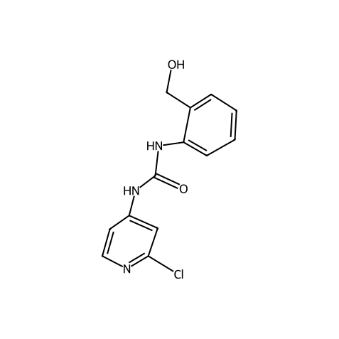 O=C(Nc1ccnc(Cl)c1)Nc1ccccc1CO